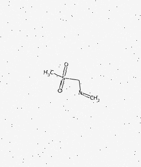 C=NCS(C)(=O)=O